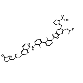 Cc1c(Nc2nccc3cc(CNCC4CCC(=O)N4)cnc23)cccc1-c1cccc(-c2nc3cc(CN4CCCC4C(=O)O)c(OC(F)F)cc3o2)c1C